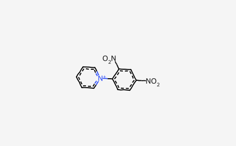 O=[N+]([O-])c1ccc(-[n+]2ccccc2)c([N+](=O)[O-])c1